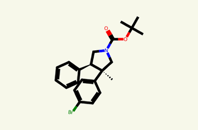 CC(C)(C)OC(=O)N1C[C@H](c2ccccc2)[C@](C)(c2ccc(Br)cc2)C1